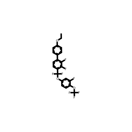 CCOc1ccc(-c2ccc(C(F)(F)Oc3ccc(OC(F)(F)F)c(F)c3)c(F)c2F)cc1